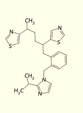 CC(C)c1nccn1Cc1ccccc1CC(CCC(C)c1cscn1)c1cncs1